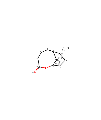 CO[C@H]1C2CC[C@@H](C=O)C1CCCC(=O)O2